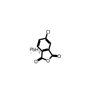 O=C1OC(=O)c2cc(Cl)ccc21.[PbH2]